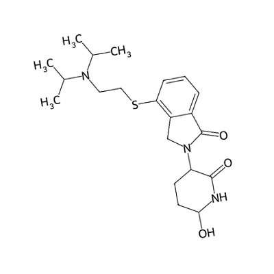 CC(C)N(CCSc1cccc2c1CN(C1CCC(O)NC1=O)C2=O)C(C)C